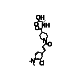 C[C@H](NC(=O)C1CCN(C(=O)/C=C/c2ccc(N(C)C)c(Cl)c2)CC1)C(=O)O